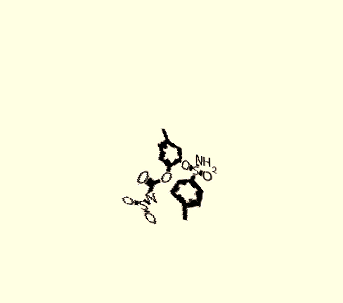 Cc1ccc(OC(=O)N=S(=O)=O)cc1.Cc1ccc(S(N)(=O)=O)cc1